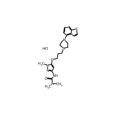 CN(C)C(=O)Nc1cc(OCCCN2CCN(c3cccc4sccc34)CC2)n(C)n1.Cl